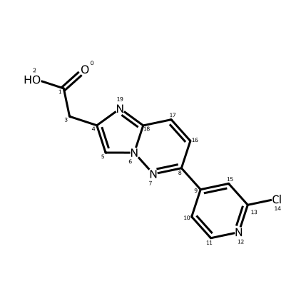 O=C(O)Cc1cn2nc(-c3ccnc(Cl)c3)ccc2n1